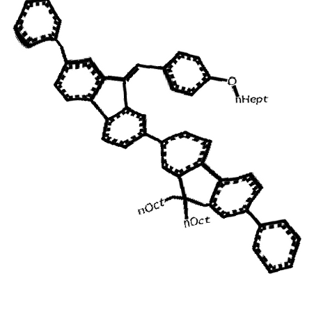 CCCCCCCCC1(CCCCCCCC)c2cc(-c3ccccc3)ccc2-c2ccc(-c3ccc4c(c3)/C(=C\c3ccc(OCCCCCCC)cc3)c3cc(-c5ccccc5)ccc3-4)cc21